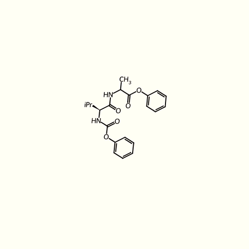 CC(NC(=O)[C@@H](NC(=O)Oc1ccccc1)C(C)C)C(=O)Oc1ccccc1